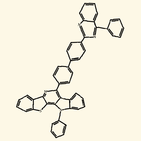 c1ccc(-c2nc(-c3ccc(-c4ccc(-c5nc6c7ccccc7sc6c6c5c5ccccc5n6-c5ccccc5)cc4)cc3)nc3ccccc23)cc1